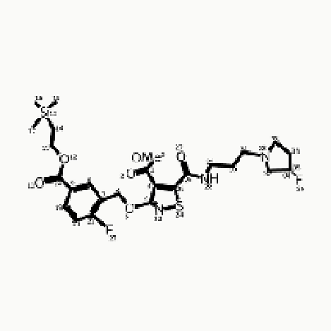 COC(=O)c1c(OCc2cc(C(=O)OCC[Si](C)(C)C)ccc2F)nsc1C(=O)NCCCN1CC[C@H](F)C1